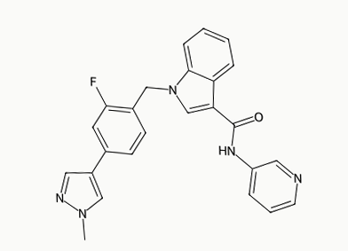 Cn1cc(-c2ccc(Cn3cc(C(=O)Nc4cccnc4)c4ccccc43)c(F)c2)cn1